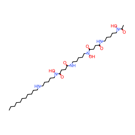 CCCCCCCCCCCNCCCCCN(O)C(=O)CCC(=O)NCCCCCN(O)C(=O)CCC(=O)NCCCCCN(O)C(C)=O